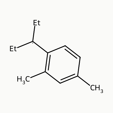 CC[C](CC)c1ccc(C)cc1C